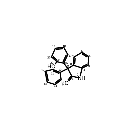 O=C1Nc2ccccc2C1(c1ccccc1)c1ccccc1O